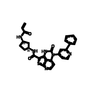 C=CC(=O)N[C@@H]1CC[C@H](NC(=O)c2sc3nccc4c3c2NC(=O)N4c2ccnc(-c3ccccc3)c2)C1